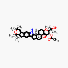 CC(=O)O[C@H]1C=C2C(CC[C@@]3(C)[C@@]2(O)CCC2Cc4c([nH]c5cc6c(cc45)C[C@H]4C6=CC(C)(C)OC4(C)C)[C@@]23C)OC1C(C)(C)O